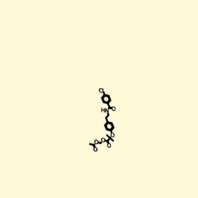 CC(=O)OCOC(=O)C(C)(C)Oc1ccc(CCNC(=O)c2ccc(Cl)cc2)cc1